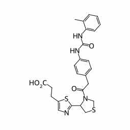 Cc1ccccc1NC(=O)Nc1ccc(CC(=O)N2CSCC2c2ncc(CCC(=O)O)s2)cc1